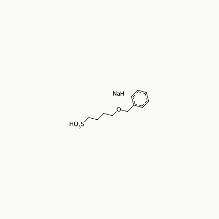 O=S(=O)(O)CCCCOCc1ccccc1.[NaH]